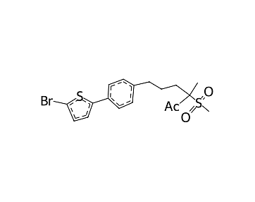 CC(=O)C(C)(CCCc1ccc(-c2ccc(Br)s2)cc1)S(C)(=O)=O